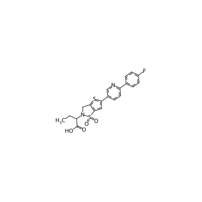 CCC(C(=O)O)N1Cc2sc(-c3ccc(-c4ccc(F)cc4)nc3)cc2S1(=O)=O